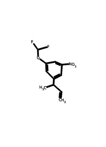 C=C[C](C)c1cc(OC(F)F)cc([N+](=O)[O-])c1